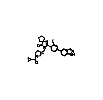 O=C(C1CC1)N1CC[C@@H](CN2C(=O)C3(CCCC3)N=C2c2ccc(-c3ccc4[nH]ncc4c3)cc2F)C1